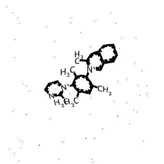 Cc1cc(C)c(-[n+]2cccnc2C)c(C)c1-[n+]1cc2ccccc2cc1C